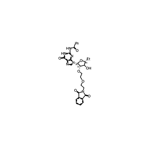 CC[C@H]1O[C@@H](n2cnc3c(=O)[nH]c(NC(=O)C(C)C)nc32)[C@@H](OCCOCCN2C(=O)c3ccccc3C2=O)C1O